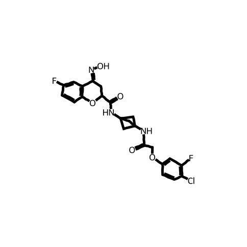 O=C(COc1ccc(Cl)c(F)c1)NC12CC(NC(=O)C3CC(=NO)c4cc(F)ccc4O3)(C1)C2